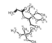 C=CC(=O)OC(CC)[Si](OC)(OC)OC.CO[Si](C)(OC)OC